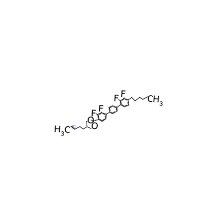 C/C=C/CCC1COC(c2ccc(-c3ccc(-c4ccc(CCCCCC)c(F)c4F)cc3)c(F)c2F)OC1